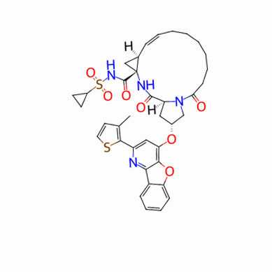 Cc1ccsc1-c1cc(O[C@@H]2C[C@H]3C(=O)N[C@]4(C(=O)NS(=O)(=O)C5CC5)C[C@H]4/C=C\CCCCCCC(=O)N3C2)c2oc3ccccc3c2n1